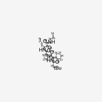 C=CCCC(NC(=O)[C@@H]1CCCN1C(=O)[C@@H](NC(=O)CC(C)(C)C)C1CCCCC1)C(=O)C(=O)NCC=C